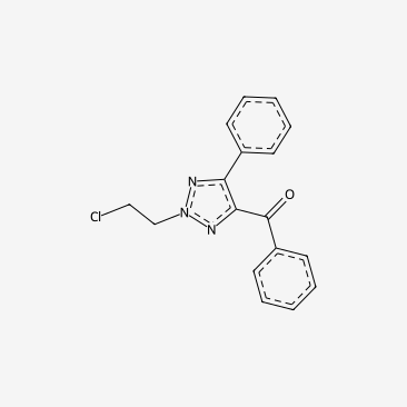 O=C(c1ccccc1)c1nn(CCCl)nc1-c1ccccc1